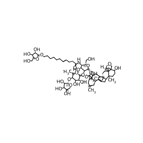 C[C@@H]1CCC2(C(=O)O[C@@H]3O[C@H](CO)C(NC(=O)CCCCCCCCCCO[C@@H]4O[C@@H](CO)C(O)C4O)C(O)C3O[C@@H]3O[C@H](C)C(O[C@@H]4OC[C@@H](O)C(O)C4O)C(O)C3O)C(C1)C1=C3CC4C5(C)CCC(O)C(C)(C=O)[C@@H]5CC[C@@]34[C@]1(C)C[C@H]2O